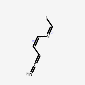 N=C=C/C=C\N=C/I